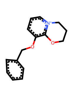 c1ccc(COc2ccc[n+]3c2OCCC3)cc1